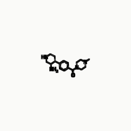 CN1CCN(C(=O)c2ccc(C3CCNCC3N)cc2)CC1